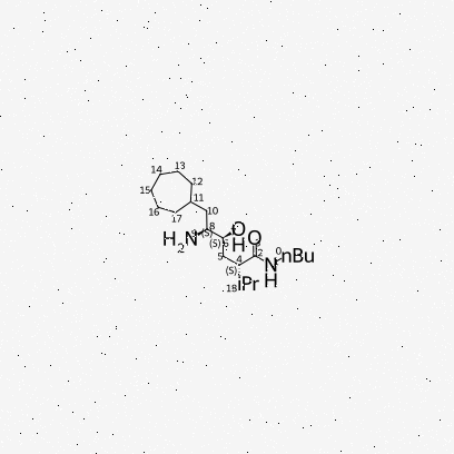 CCCCNC(=O)[C@@H](C[C@H](O)[C@@H](N)CC1CCCCCC1)C(C)C